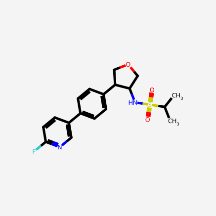 CC(C)S(=O)(=O)NC1COCC1c1ccc(-c2ccc(F)nc2)cc1